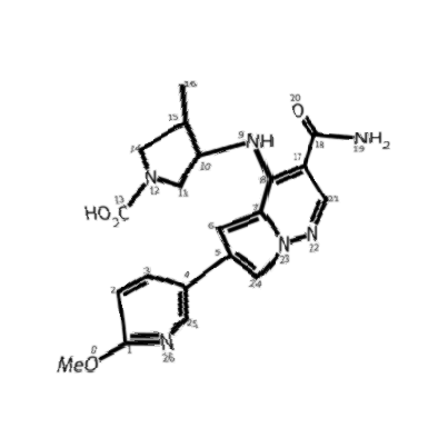 COc1ccc(-c2cc3c(NC4CN(C(=O)O)CC4C)c(C(N)=O)cnn3c2)cn1